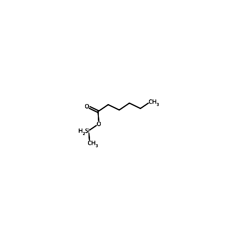 CCCCCC(=O)O[SiH2]C